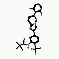 CC(C)(C)C(=O)Nc1cc(-c2cn3nc(-c4c(F)cccc4F)ccc3n2)ccc1C(F)(F)F